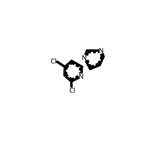 Clc1ccnc(Cl)c1.c1cncnc1